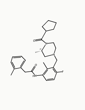 Cc1ccccc1CC(=O)Nc1ccc(F)c(CN2CCN(C(=O)C3CCCC3)[C@@H](C)C2)c1C